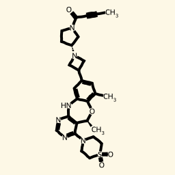 CC#CC(=O)N1CC[C@@H](N2CC(c3cc(C)c4c(c3)Nc3ncnc(N5CCS(=O)(=O)CC5)c3[C@H](C)O4)C2)C1